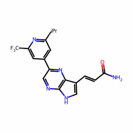 CC(C)c1cc(-c2cnc3[nH]cc(C=CC(N)=O)c3n2)cc(C(F)(F)F)n1